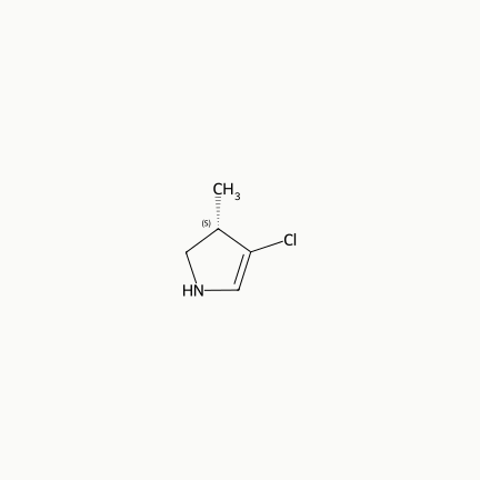 C[C@H]1CNC=C1Cl